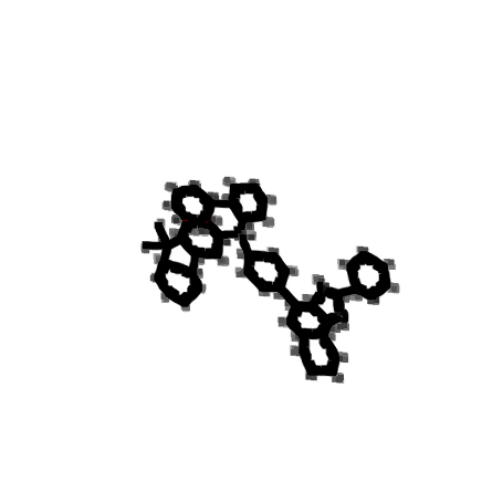 CC1(C)c2ccccc2-c2cc(N(c3ccc(-c4cc5ccccc5c5oc(-c6ccccc6)nc45)cc3)c3ccccc3-c3ccccc3)ccc21